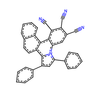 N#Cc1cc2c(c(C#N)c1C#N)c1c3ccccc3ccc1c1c(-c3ccccc3)cc(-c3ccccc3)n21